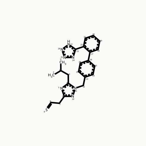 CC(C)Cc1nc(CC=S)nn1Cc1ccc(-c2ccccc2-c2nnn[nH]2)cc1